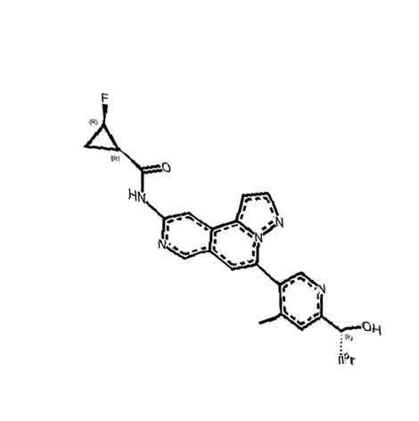 CCC[C@@H](O)c1cc(C)c(-c2cc3cnc(NC(=O)[C@H]4C[C@H]4F)cc3c3ccnn23)cn1